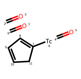 [C]=O.[C]=O.[C]=O.[Tc][C]1=CC=CC1